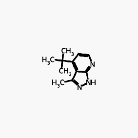 Cc1n[nH]c2nccc(C(C)(C)C)c12